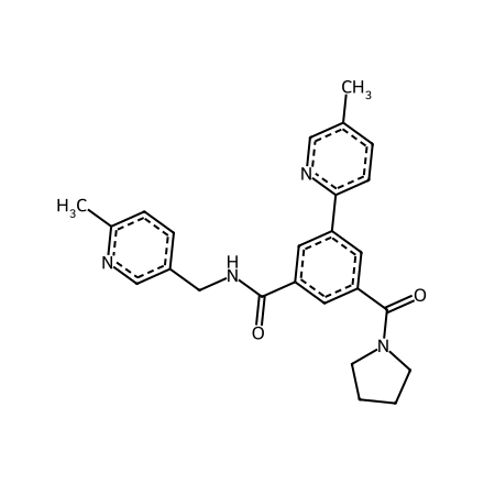 Cc1ccc(-c2cc(C(=O)NCc3ccc(C)nc3)cc(C(=O)N3CCCC3)c2)nc1